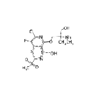 CNC(C)(CO)COc1nc(Cl)c(F)c2nc(S(C)(=O)=O)nc(O)c12